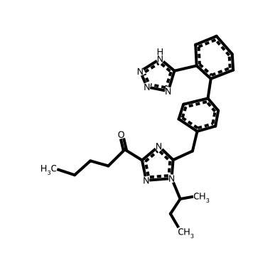 CCCCC(=O)c1nc(Cc2ccc(-c3ccccc3-c3nnn[nH]3)cc2)n(C(C)CC)n1